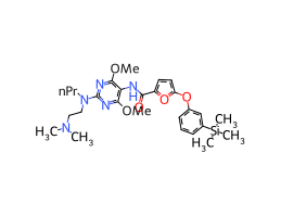 CCCN(CCN(C)C)c1nc(OC)c(NC(=O)c2ccc(Oc3cccc([Si](C)(C)C)c3)o2)c(OC)n1